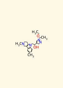 CCOC(C)n1cc(C(O)Cn2c3c(c4cc(C)ccc42)CN(C)CC3)cn1